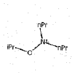 CCC[N+](CCC)OC(C)C